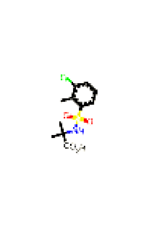 Cc1c(Cl)cccc1S(=O)(=O)NC(C)(C)C(=O)O